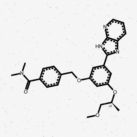 COC[C@H](C)Oc1cc(OCc2ccc(C(=O)N(C)C)cc2)cc(-c2nc3cccnc3[nH]2)c1